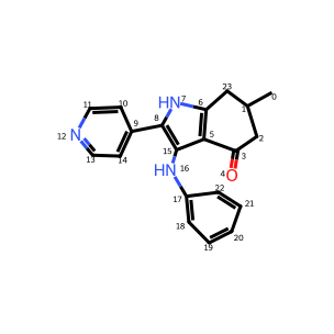 CC1CC(=O)c2c([nH]c(-c3ccncc3)c2Nc2ccccc2)C1